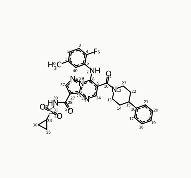 Cc1ccc(F)c(Nc2c(C(=O)N3CCC(c4ccccc4)CC3)cnc3c(C(=O)NS(=O)(=O)C4CC4)cnn23)c1